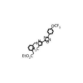 CCOC(=O)Cc1cccc(Cn2nc(-c3nc(-c4ccc(OC(F)(F)F)cc4)no3)cc2C)c1